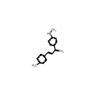 C=C(/C=C/c1ccc(C)cc1)c1ccc(BC)cc1